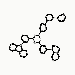 c1ccc(-c2cccc(-c3ccc(C4N=C(c5cccc(-n6c7ccccc7c7ccccc76)c5)NC(c5cccc(-c6cccc7ccccc67)c5)N4)cc3)c2)cc1